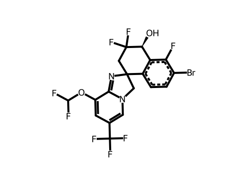 O[C@H]1c2c(ccc(Br)c2F)C2(CN3C=C(C(F)(F)F)C=C(OC(F)F)C3=N2)CC1(F)F